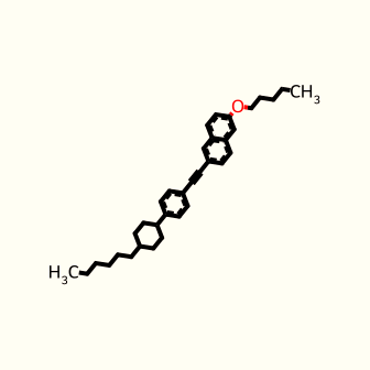 CCCCCCC1CCC(c2ccc(C#Cc3ccc4cc(OCCCCC)ccc4c3)cc2)CC1